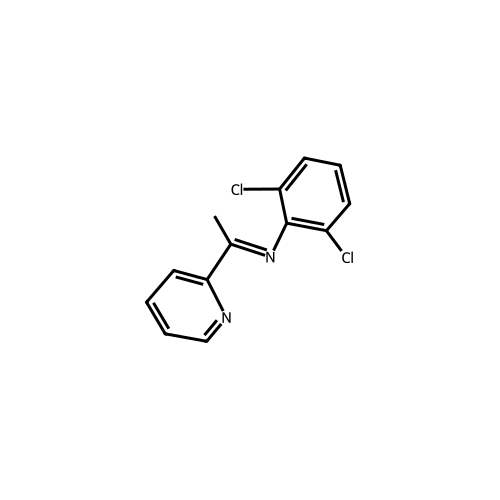 CC(=Nc1c(Cl)cccc1Cl)c1ccccn1